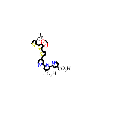 Cc1ccsc1C1SC(c2ccc(-c3ccnc(-c4cc(C(=O)O)cc(-c5cc(C(=O)O)ccn5)n4)c3)s2)=C2OCCOC21